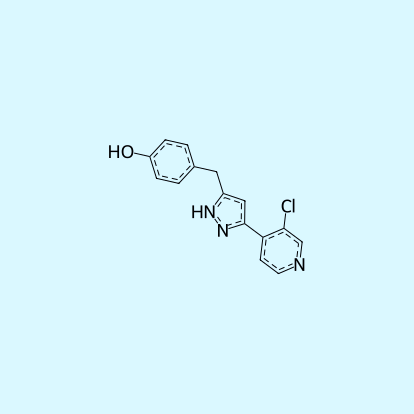 Oc1ccc(Cc2cc(-c3ccncc3Cl)n[nH]2)cc1